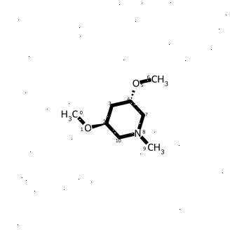 CO[C@H]1C[C@H](OC)CN(C)C1